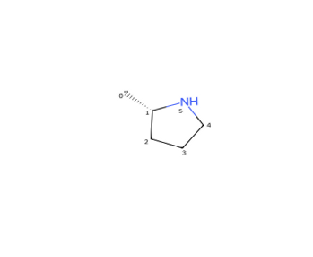 [CH][C@H]1CCCN1